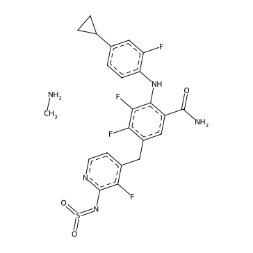 CN.NC(=O)c1cc(Cc2ccnc(N=S(=O)=O)c2F)c(F)c(F)c1Nc1ccc(C2CC2)cc1F